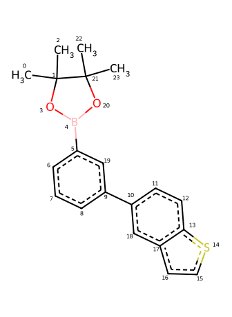 CC1(C)OB(c2cccc(-c3ccc4sccc4c3)c2)OC1(C)C